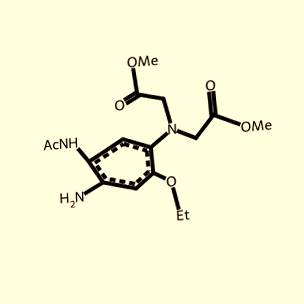 CCOc1cc(N)c(NC(C)=O)cc1N(CC(=O)OC)CC(=O)OC